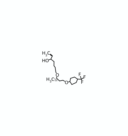 C=CC(O)CCCCO[C@@H](C)CCOC1CCC(C(F)(F)F)CC1